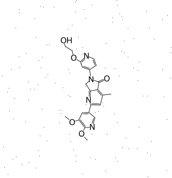 COc1cc(-c2cc(C)c3c(n2)CN(c2ccnc(OCCO)c2)C3=O)cnc1OC